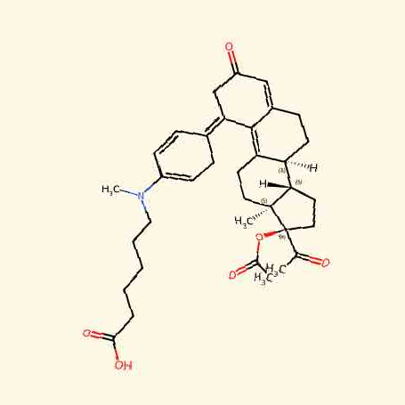 CC(=O)O[C@]1(C(C)=O)CC[C@H]2[C@@H]3CCC4=CC(=O)CC(=C5C=CC(N(C)CCCCCC(=O)O)=CC5)C4=C3CC[C@@]21C